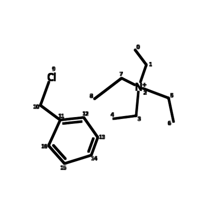 CC[N+](CC)(CC)CC.ClCc1ccccc1